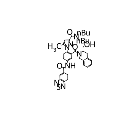 CCCCN(CCCC)C(=O)c1cc(C)n(-c2ccc(NC(=O)c3ccc4c(c3)N=S=N4)cc2C(=O)N2Cc3ccccc3C[C@H]2CO)n1